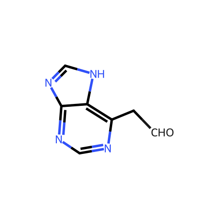 O=CCc1ncnc2nc[nH]c12